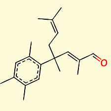 CC(C)=CCC(C)(C=C(C)C=O)c1cc(C)c(C)cc1C